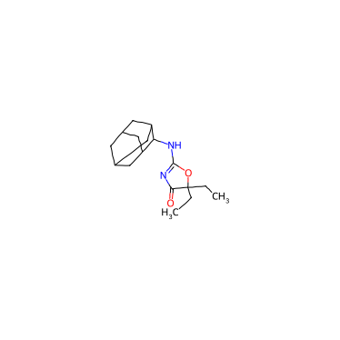 CCC1(CC)OC(NC2C3CC4CC(C3)CC2C4)=NC1=O